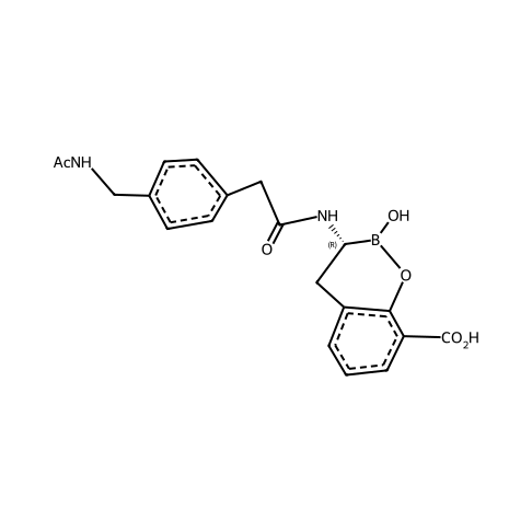 CC(=O)NCc1ccc(CC(=O)N[C@H]2Cc3cccc(C(=O)O)c3OB2O)cc1